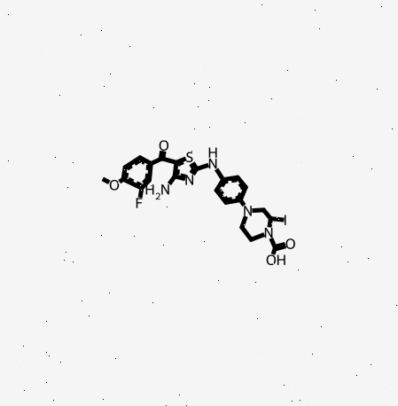 COc1ccc(C(=O)c2sc(Nc3ccc(N4CCN(C(=O)O)C(I)C4)cc3)nc2N)cc1F